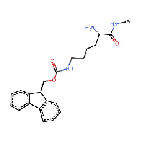 CC(C)NC(=O)[C@@H](N)CCCCNC(=O)OCC1c2ccccc2-c2ccccc21